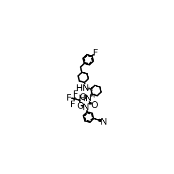 N#Cc1cccc(N(OC(=O)C(F)(F)F)C(=O)N[C@@H]2CCCC[C@H]2NC2CCC(Cc3ccc(F)cc3)CC2)c1